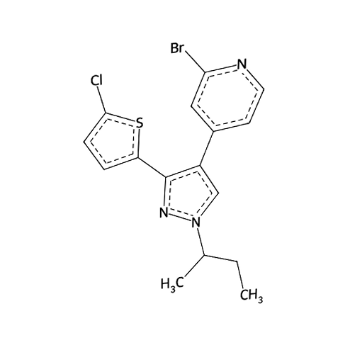 CCC(C)n1cc(-c2ccnc(Br)c2)c(-c2ccc(Cl)s2)n1